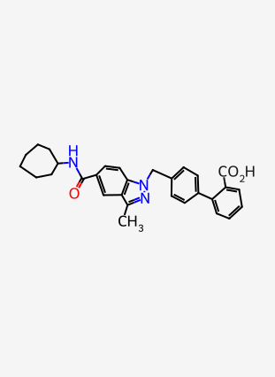 Cc1nn(Cc2ccc(-c3ccccc3C(=O)O)cc2)c2ccc(C(=O)NC3CCCCCC3)cc12